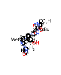 CCn1c(-c2cc(N3CCN4CCOC[C@@H]4C3)cnc2[C@H](C)OC)c(CC(C)(C)CO)c2cc(N3CCO[C@@H](C[C@H](NC(=O)OC(C)(C)C)C(=O)N4CCC[C@@H](C(=O)O)N4)C3)ccc21